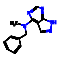 CN(Cc1ccccc1)c1ncnc2[nH]ncc12